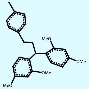 COc1ccc(C(CCc2ccc(C)cc2)c2ccc(OC)cc2OC)c(OC)c1